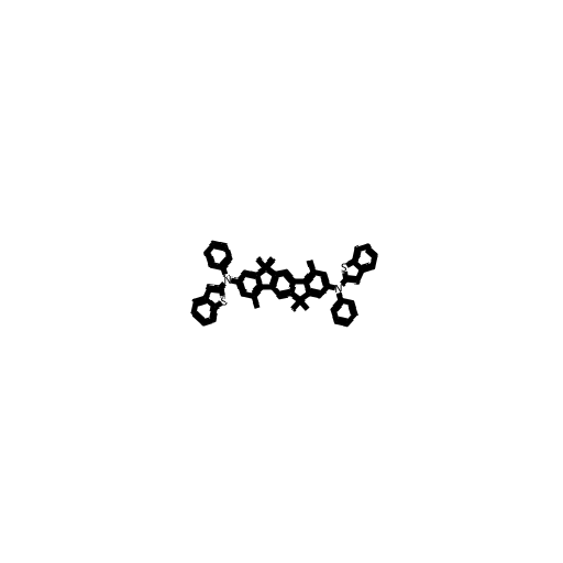 Cc1cc(N(c2ccccc2)c2cc3ccccc3s2)cc2c1-c1cc3c(cc1C2(C)C)-c1c(C)cc(N(c2ccccc2)c2cc4ccccc4s2)cc1C3(C)C